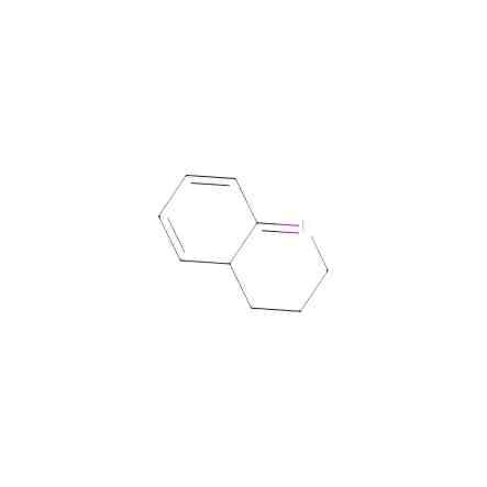 C1=CC2=PCCCC2C=C1